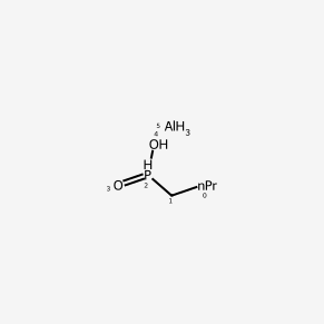 CCCC[PH](=O)O.[AlH3]